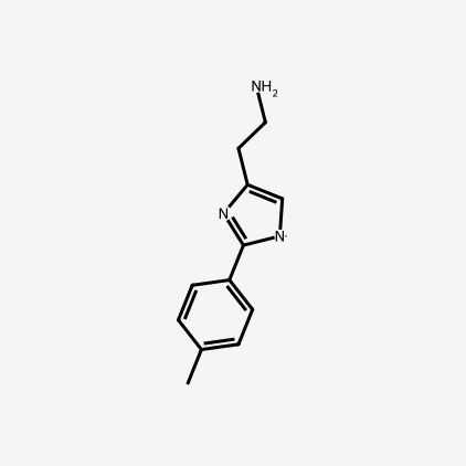 Cc1ccc(C2=NC(CCN)=C[N]2)cc1